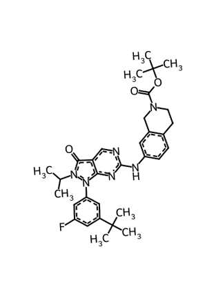 CC(C)n1c(=O)c2cnc(Nc3ccc4c(c3)CN(C(=O)OC(C)(C)C)CC4)nc2n1-c1cc(F)cc(C(C)(C)C)c1